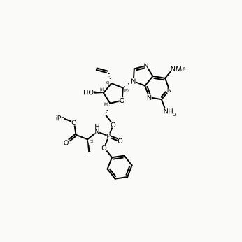 C=C[C@H]1[C@H](O)[C@@H](COP(=O)(N[C@@H](C)C(=O)OC(C)C)Oc2ccccc2)O[C@H]1n1cnc2c(NC)nc(N)nc21